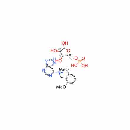 COc1cccc(OC)c1CNc1ncnc2nc[nH]c12.O=P(O)(O)OC[C@H]1OC(O)[C@H](O)[C@@H]1O